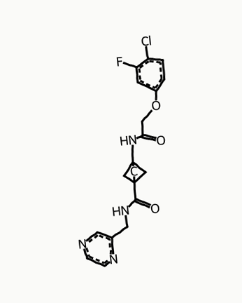 O=C(COc1ccc(Cl)c(F)c1)NC12CC(C(=O)NCc3cnccn3)(C1)C2